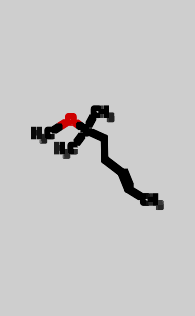 CC=CCC[Si](C)(C)OC